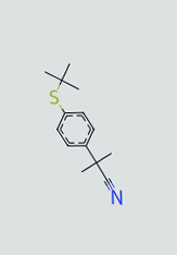 CC(C)(C)Sc1ccc(C(C)(C)C#N)cc1